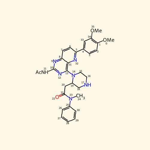 COc1ccc(-c2ccc3nc(NC(C)=O)nc(N4CCNCC4CC(=O)N(C)c4ccccc4)c3n2)cc1OC